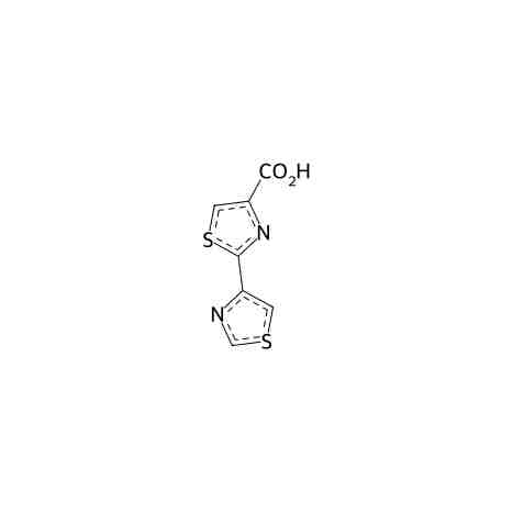 O=C(O)c1csc(-c2cscn2)n1